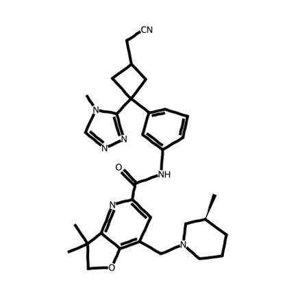 C[C@H]1CCCN(Cc2cc(C(=O)Nc3cccc(C4(c5nncn5C)CC(CC#N)C4)c3)nc3c2OCC3(C)C)C1